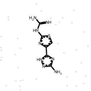 N=C(N)Nc1nc(-c2nc(N)n[nH]2)cs1